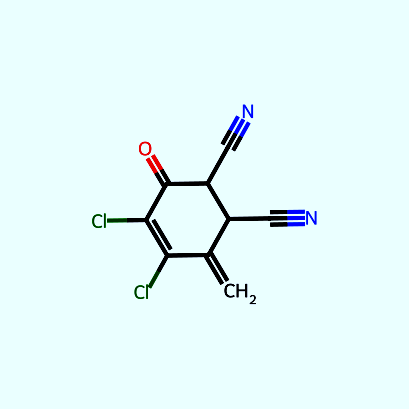 C=C1C(Cl)=C(Cl)C(=O)C(C#N)C1C#N